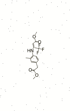 COC(=O)C=C(Nc1ccc(CC(=O)OC)cc1C)C(F)(F)F